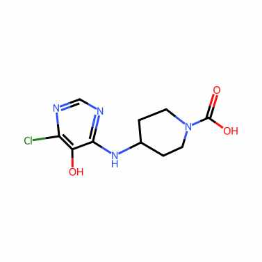 O=C(O)N1CCC(Nc2ncnc(Cl)c2O)CC1